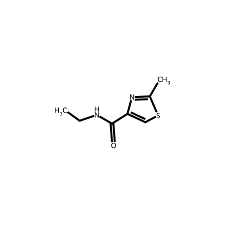 CCNC(=O)c1csc(C)n1